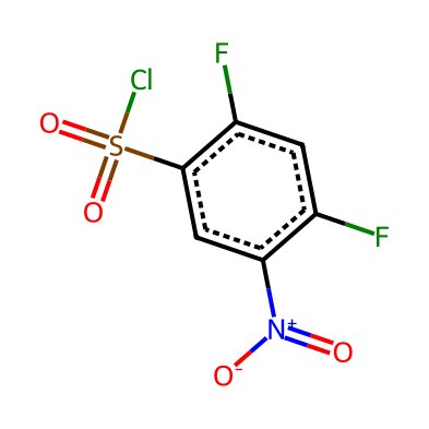 O=[N+]([O-])c1cc(S(=O)(=O)Cl)c(F)cc1F